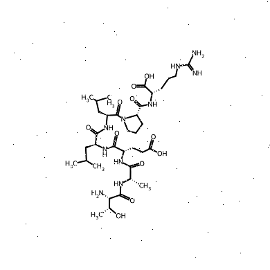 CC(C)C[C@H](NC(=O)[C@H](CCC(=O)O)NC(=O)[C@H](C)NC(=O)[C@@H](N)[C@@H](C)O)C(=O)N[C@@H](CC(C)C)C(=O)N1CCC[C@H]1C(=O)N[C@@H](CCCNC(=N)N)C(=O)O